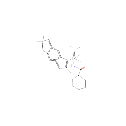 CC1=[C]([Ti]([CH3])([CH3])([NH]C(=O)C2CCCCC2)=[Si](C)C)c2cc3c(cc2=C1)CC(C)(C)C=3